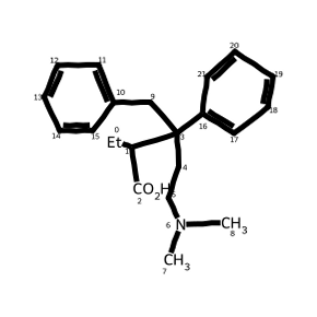 CCC(C(=O)O)C(CCN(C)C)(Cc1ccccc1)c1ccccc1